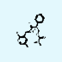 Cc1cnc(F)c(CNC(=O)[C@H](COC(=O)N(C)C)c2ccccc2)c1